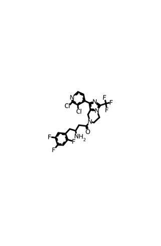 NC(CC(=O)N1CCn2c(C(F)(F)F)nc(-c3ccnc(Cl)c3Cl)c2C1)Cc1cc(F)c(F)cc1F